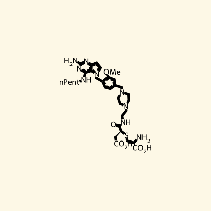 CCCCCNc1nc(N)nc2ccn(Cc3ccc(CN4CCN(CCNC(=O)[C@H](CC(=O)O)SC[C@H](N)C(=O)O)CC4)cc3OC)c12